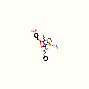 COCSC1C(NC(=O)COc2ccccc2)C(=O)N1C(C(=O)OCc1ccc([N+](=O)[O-])cc1)=C(C)N1CCOCC1